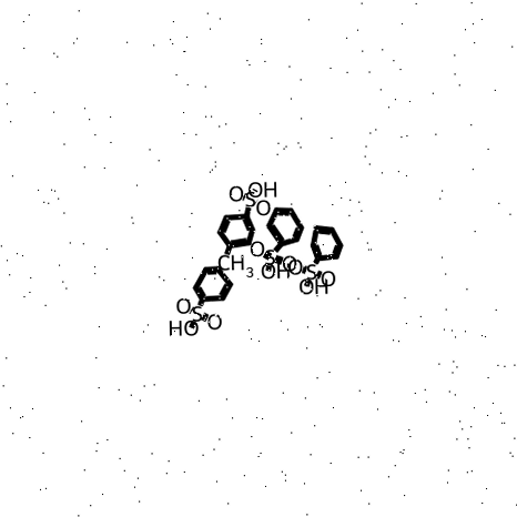 Cc1ccc(S(=O)(=O)O)cc1.O=S(=O)(O)c1ccccc1.O=S(=O)(O)c1ccccc1.O=S(=O)(O)c1ccccc1